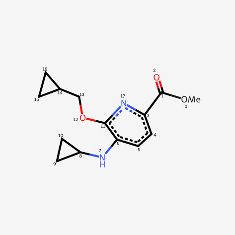 COC(=O)c1ccc(NC2CC2)c(OCC2CC2)n1